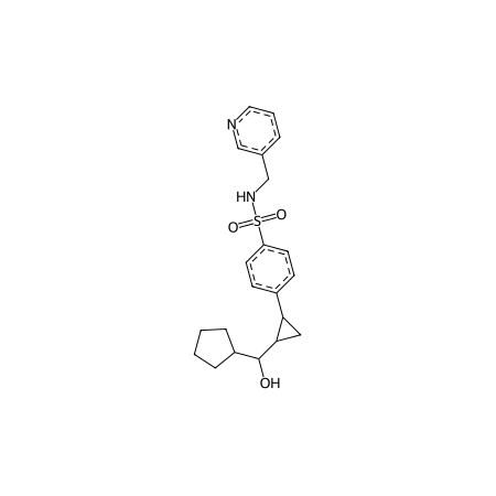 O=S(=O)(NCc1cccnc1)c1ccc(C2CC2C(O)C2CCCC2)cc1